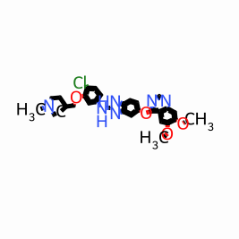 COc1cc2ncnc(Oc3ccc4[nH]c(Nc5ccc(Cl)c(OCC6CCN(C)CC6)c5)nc4c3)c2cc1OC